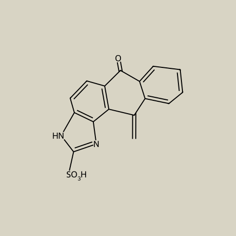 C=C1c2ccccc2C(=O)c2ccc3[nH]c(S(=O)(=O)O)nc3c21